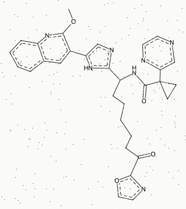 COc1nc2ccccc2cc1-c1cnc(C(CCCCCC(=O)c2ncco2)NC(=O)C2(c3cnccn3)CC2)[nH]1